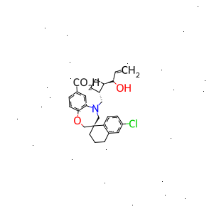 C=CC(O)[C@@H]1CC[C@H]1CN1C[C@@]2(CCCc3cc(Cl)ccc32)COc2ccc(C(=O)O)cc21